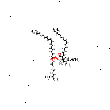 CCCCCCCC/C=C\CCCCCCC(C(=O)O)C(C)(C)CC(C)CCCC.CCCCCCCC/C=C\CCCCCCCC(=O)OCCCCCCCC(C)C